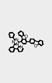 c1ccc(-c2nc(-c3ccccc3-c3cccnc3)nc(-c3ccc(-c4ccc5c(c4)oc4ccccc45)c4oc5ccccc5c34)n2)cc1